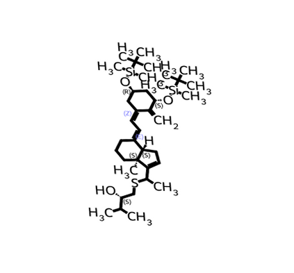 C=C1/C(=C\C=C2/CCC[C@]3(C)C(C(C)SC[C@@H](O)C(C)C)=CC[C@@H]23)C[C@@H](O[Si](C)(C)C(C)(C)C)C[C@@H]1O[Si](C)(C)C(C)(C)C